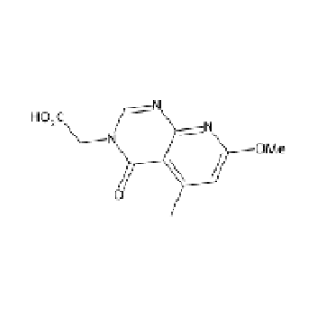 COc1cc(C)c2c(=O)n(CC(=O)O)cnc2n1